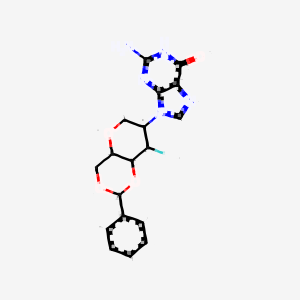 Nc1nc2c(ncn2C2COC3COC(c4ccccc4)OC3C2F)c(=O)[nH]1